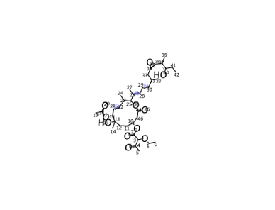 CCOC(C(C)=O)C(=O)OC1CCC(C)(O)C(OC(C)=O)/C=C/C(C)C(/C(C)=C/C=C/C(C)CC2OC2C(C)C(O)CC)OC(=O)C1